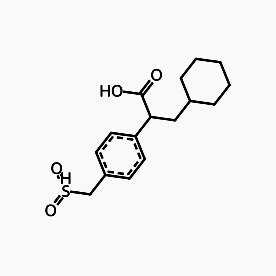 O=C(O)C(CC1CCCCC1)c1ccc(C[SH](=O)=O)cc1